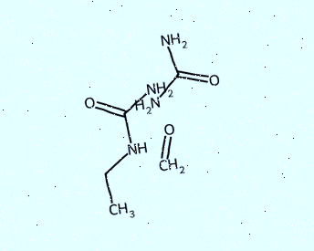 C=O.CCNC(N)=O.NC(N)=O